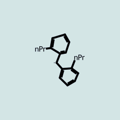 CCCc1ccccc1[CH]c1ccccc1CCC